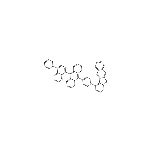 c1ccc(-c2ccc(-c3c4ccccc4c(-c4ccc(-c5cccc6sc7cc8ccccc8cc7c56)cc4)c4ccccc34)c3ccccc23)cc1